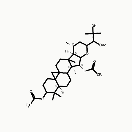 CC(=O)OC(C1C[C@@H](C)[C@H]2C(O1)[C@H](OC(=O)C(F)(F)F)[C@@]1(C)C3CC[C@H]4C(C)(C)C(OC(=O)C(F)(F)F)CCC45CC35CCC21C)C(C)(C)O